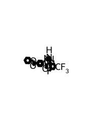 O=C(OC1CCCCC1)c1ccc(NC(=O)N2C(F)CC(C(F)(F)F)CC2c2nn[nH]n2)cc1